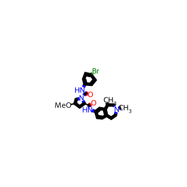 CO[C@@H]1C[C@H](C(=O)Nc2ccc3c(c2)C(C)CN(C)CC3)N(C(=O)Nc2ccc(Br)cc2)C1